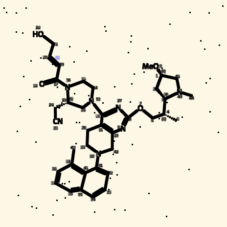 CO[C@@H]1C[C@H]([C@H](C)COc2nc3c(c(N4CCN(C(=O)/C=C/CO)[C@@H](CC#N)C4)n2)CCN(c2cccc4cccc(C)c24)C3)N(C)C1